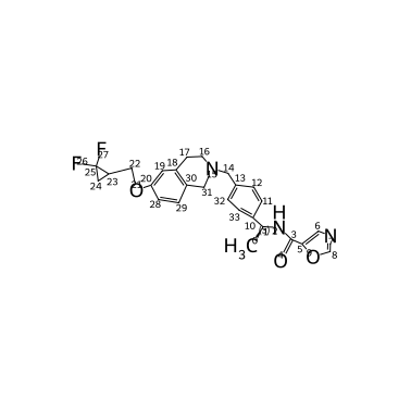 C[C@H](NC(=O)c1cnco1)c1ccc(CN2CCc3cc(OCC4CC4(F)F)ccc3C2)cc1